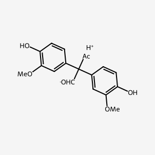 COc1cc(C([C]=O)(C(C)=O)c2ccc(O)c(OC)c2)ccc1O.[H+]